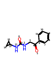 O=C(NCC(=O)c1ccccc1)NC1CC1